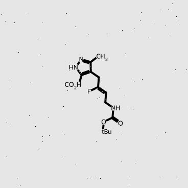 Cc1n[nH]c(C(=O)O)c1CC(F)=CCNC(=O)OC(C)(C)C